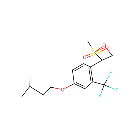 CC(C)CCOc1ccc(C2(S(C)(=O)=O)COC2)c(C(F)(F)F)c1